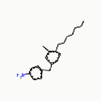 CCCCCCCc1ccc(Cc2ccc(N)cc2)cc1C